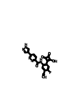 C#Cc1cc(NC(=O)c2ccc(-c3cn[nH]c3)nn2)c(-c2c(O)c(=O)c2=O)cc1F